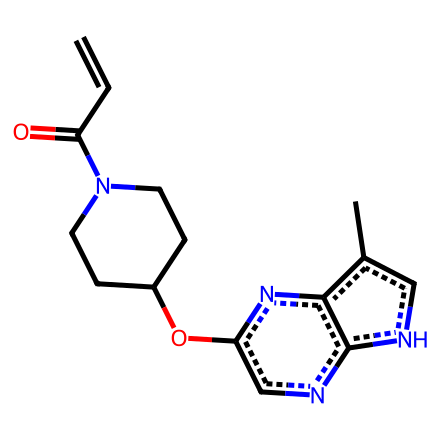 C=CC(=O)N1CCC(Oc2cnc3[nH]cc(C)c3n2)CC1